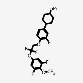 CCCC1CCC(c2ccc(OCC(F)(F)Oc3cc(F)c(OC(F)(F)F)c(F)c3)c(F)c2)CC1